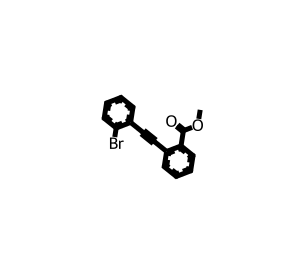 COC(=O)c1ccccc1C#Cc1ccccc1Br